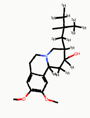 [2H]C([2H])([2H])C(C)(C([2H])([2H])[2H])C([2H])([2H])C1([2H])CN2CCc3cc(OC)c(OC)cc3C2([2H])C([2H])([2H])C1([2H])O